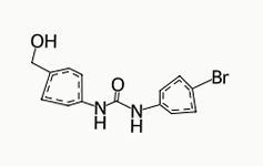 O=C(Nc1ccc(Br)cc1)Nc1ccc(CO)cc1